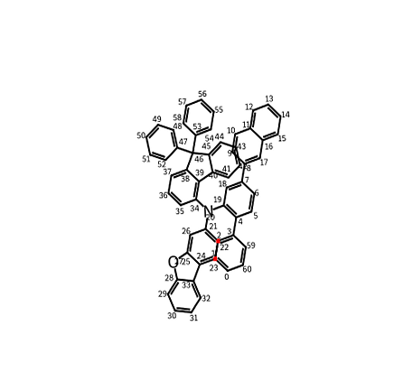 c1ccc(-c2ccc(-c3ccc4ccccc4c3)cc2N(c2ccc3c(c2)oc2ccccc23)c2cccc3c2-c2ccccc2C3(c2ccccc2)c2ccccc2)cc1